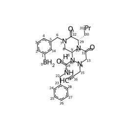 Bc1cccc(CN2C[C@H]3N(C(=O)CN(CC#C)N3C(=O)NCc3ccccc3)[C@@H](CC(C)C)C2=O)c1